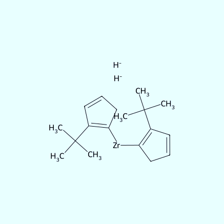 CC(C)(C)C1=[C]([Zr][C]2=C(C(C)(C)C)C=CC2)CC=C1.[H-].[H-]